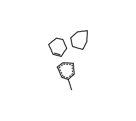 C1=CCCCC1.C1CCCCC1.Cc1ccccc1